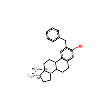 C[C@H]1CCC2C3CCc4cc(O)c(Cc5ccccc5)cc4C3CC[C@@]21C